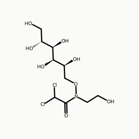 O=C(C(Cl)Cl)N(CCO)OC[C@H](O)[C@@H](O)[C@H](O)[C@H](O)CO